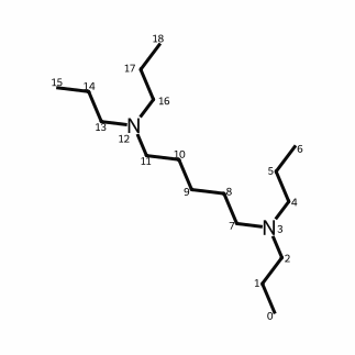 CCCN(CCC)CCCCCN(CCC)CCC